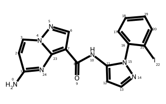 Nc1ccn2ncc(C(=O)Nc3ccnn3-c3ccccc3I)c2n1